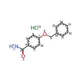 Cl.NC(=O)c1ccc(OCc2ccccc2)cc1